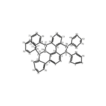 c1ccc(B2c3ccc4c5c3-c3c(cccc3N(c3ccccc3)B5N(c3ccccc3)c3ccccc3-4)N2c2ccccc2)cc1